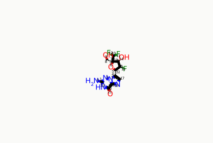 Nc1nn2c([C@@H]3O[C@@](CO)(C(F)F)[C@@H](O)[C@H]3F)cnc2c(=O)[nH]1